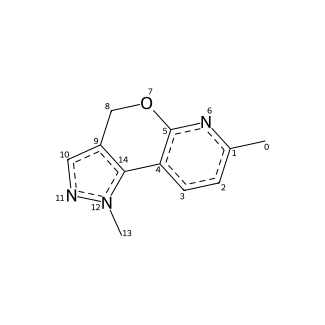 Cc1ccc2c(n1)OCc1cnn(C)c1-2